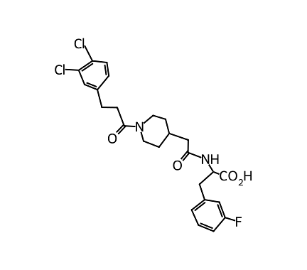 O=C(CC1CCN(C(=O)CCc2ccc(Cl)c(Cl)c2)CC1)NC(Cc1cccc(F)c1)C(=O)O